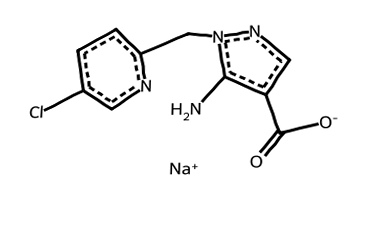 Nc1c(C(=O)[O-])cnn1Cc1ccc(Cl)cn1.[Na+]